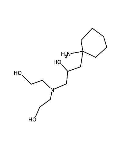 NC1(CC(O)CN(CCO)CCO)CCCCC1